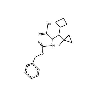 CC1(C(C2CCC2)C(NC(=O)OCc2ccccc2)C(=O)O)CC1